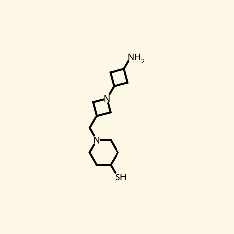 NC1CC(N2CC(CN3CCC(S)CC3)C2)C1